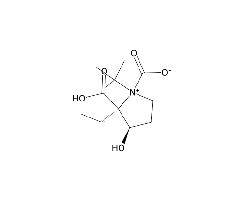 CC[C@@]1(C(=O)O)[C@H](O)CC[N+]1(C(=O)[O-])C(C)(C)C